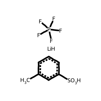 Cc1cccc(S(=O)(=O)O)c1.FP(F)(F)(F)F.[LiH]